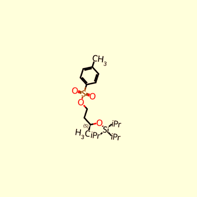 Cc1ccc(S(=O)(=O)OCC[C@H](C)O[Si](C(C)C)(C(C)C)C(C)C)cc1